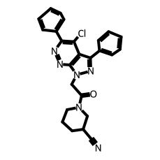 N#CC1CCCN(C(=O)Cn2nc(-c3ccccc3)c3c(Cl)c(-c4ccccc4)nnc32)C1